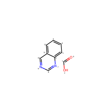 O=CO.c1ccc2ncncc2c1